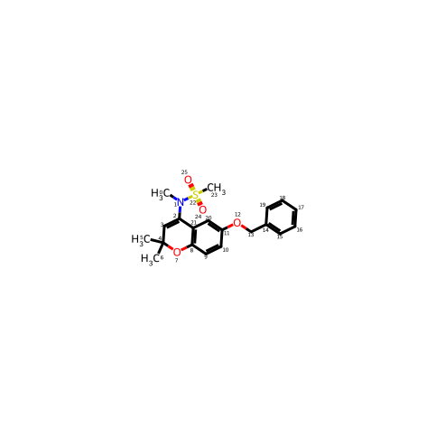 CN(C1=CC(C)(C)Oc2ccc(OCc3ccccc3)cc21)S(C)(=O)=O